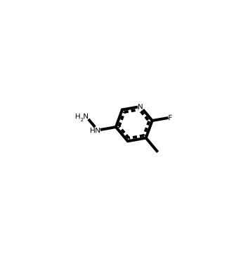 Cc1cc(NN)cnc1F